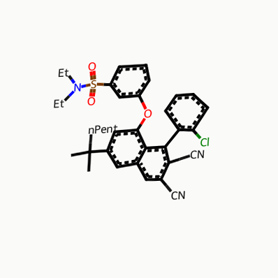 CCCCCC(C)(C)c1cc(Oc2cccc(S(=O)(=O)N(CC)CC)c2)c2c(-c3ccccc3Cl)c(C#N)c(C#N)cc2c1